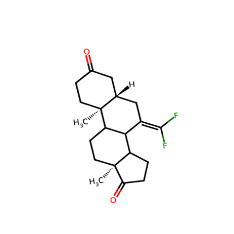 C[C@]12CCC3C(C(=C(F)F)C[C@H]4CC(=O)CC[C@]34C)C1CCC2=O